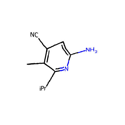 Cc1c(C#N)cc(N)nc1C(C)C